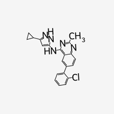 Cc1nc(Nc2cc(C3CC3)n[nH]2)c2cc(-c3ccccc3Cl)ccc2n1